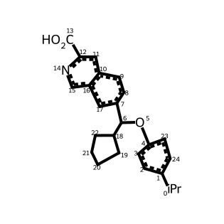 CC(C)c1ccc(OC(c2ccc3cc(C(=O)O)ncc3c2)C2CCCC2)cc1